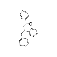 O=C(CC(Cc1ccccc1)c1ccccc1)c1ccccc1